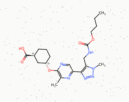 CCCCOC(=O)NCc1c(-c2cnc(O[C@H]3CCC[C@H](C(=O)O)C3)c(C)n2)nnn1C